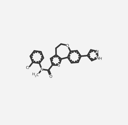 CN(C(=O)c1cc2c(s1)-c1ccc(-c3cn[nH]c3)cc1OCC2)c1ccccc1Cl